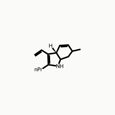 C=CC1=C(CCC)NC2CC(C)C=C[C@@H]12